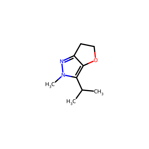 CC(C)c1c2c(nn1C)CCO2